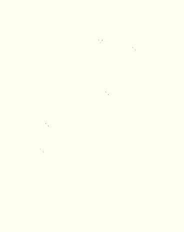 COc1ncccc1[CH]c1ccc(Cc2c[nH]c3ncc(C4CC4)cc23)cn1